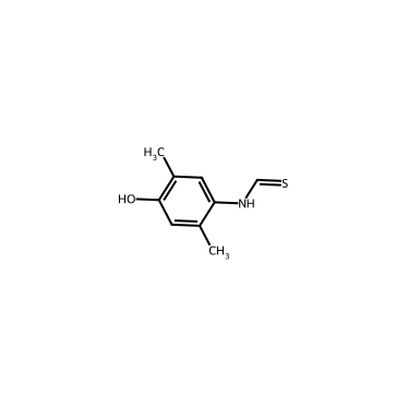 Cc1cc(NC=S)c(C)cc1O